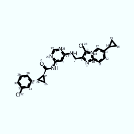 O=C(Nc1cc(NCc2nc3ccc(C4CC4)cn3c2Cl)ncn1)[C@H]1C[C@@H]1c1cccc(Cl)c1